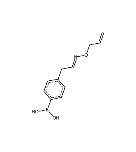 C=CCON=CCc1ccc(B(O)O)cc1